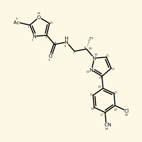 CC(=O)c1nc(C(=O)NC[C@H](C)n2ccc(-c3ccc(C#N)c(Cl)c3)n2)co1